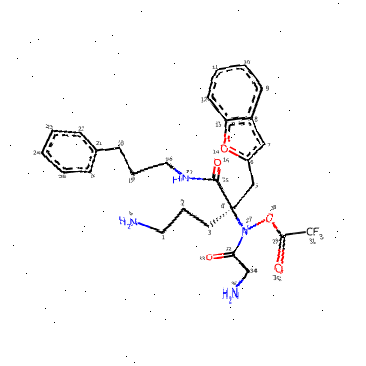 NCCC[C@@](Cc1cc2ccccc2o1)(C(=O)NCCCc1ccccc1)N(OC(=O)C(F)(F)F)C(=O)CN